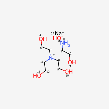 NCCO.OCCN(CCO)CCO.[Na+].[OH-]